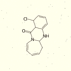 O=C1C2C(=CC=CC2Cl)NC2CC=CC=CN12